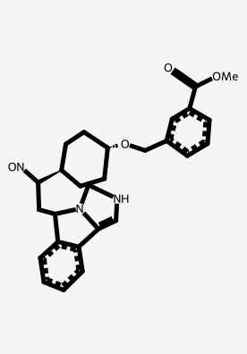 COC(=O)c1cccc(CO[C@H]2CC[C@H](C(CC3c4ccccc4C4=CNCN43)N=O)CC2)c1